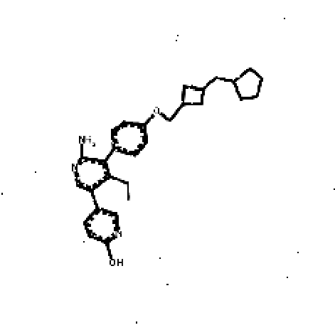 CCc1c(-c2ccc(O)nc2)cnc(N)c1-c1ccc(OCC2CC(CC3CCCC3)C2)cc1